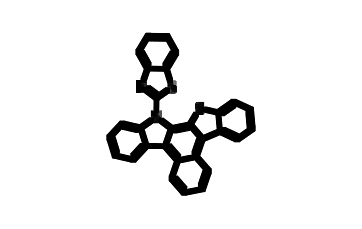 c1ccc2sc(-n3c4ccccc4c4c5ccccc5c5c6ccccc6sc5c43)nc2c1